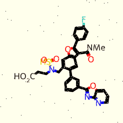 CNC(=O)c1c(-c2ccc(F)cc2)oc2cc(CN(CCC(=O)O)[SH](=O)=O)c(-c3cccc(-c4nc5ncccc5o4)c3)cc12